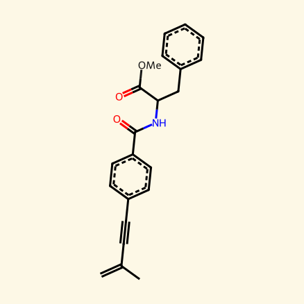 C=C(C)C#Cc1ccc(C(=O)NC(Cc2ccccc2)C(=O)OC)cc1